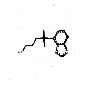 CC(C)(CCCN)c1cccc2scnc12